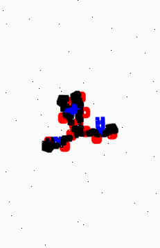 O=C(CCOCC(COCCC(=O)NCc1ccco1)(COCCC(=O)NCc1ccco1)COCCC(=O)NCc1ccco1)NCc1ccco1